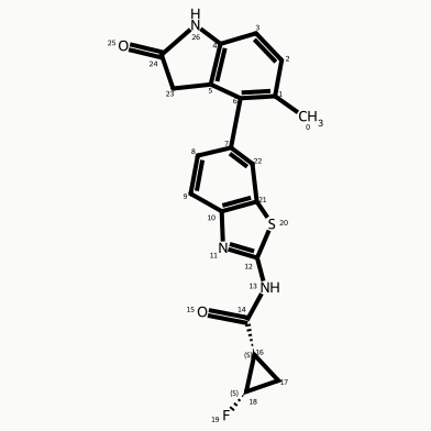 Cc1ccc2c(c1-c1ccc3nc(NC(=O)[C@@H]4C[C@@H]4F)sc3c1)CC(=O)N2